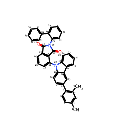 Cc1cc(C#N)ccc1-c1ccc2c(c1)c1ccccc1n2-c1cccc2c1C(=O)N(c1ccccc1-c1ccccc1)C2=O